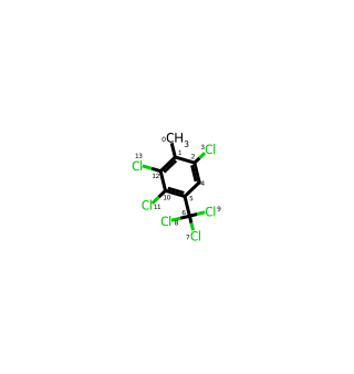 Cc1c(Cl)cc(C(Cl)(Cl)Cl)c(Cl)c1Cl